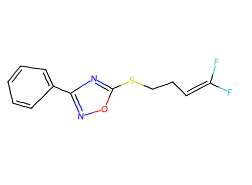 FC(F)=CCCSc1nc(-c2ccccc2)no1